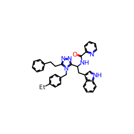 CCc1ccc(Cn2c(CCc3ccccc3)nnc2C(Cc2c[nH]c3ccccc23)NC(=O)c2ccccn2)cc1